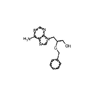 Nc1ncnc2c1ncn2CC(CO)OCc1ccccc1